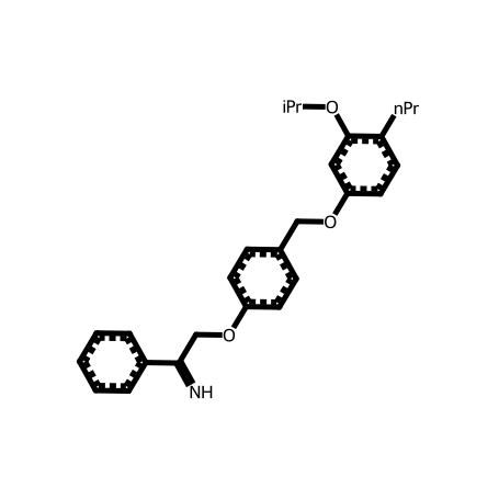 CCCc1ccc(OCc2ccc(OCC(=N)c3ccccc3)cc2)cc1OC(C)C